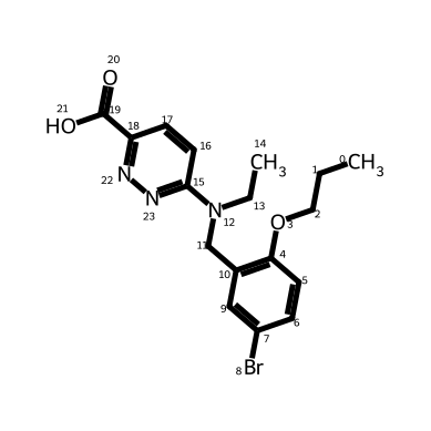 CCCOc1ccc(Br)cc1CN(CC)c1ccc(C(=O)O)nn1